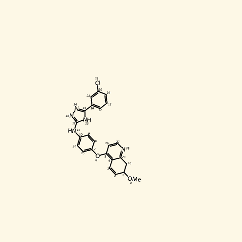 COC1C=Cc2c(Oc3ccc(Nc4nnc(-c5cccc(Cl)c5)[nH]4)cc3)ccnc2C1